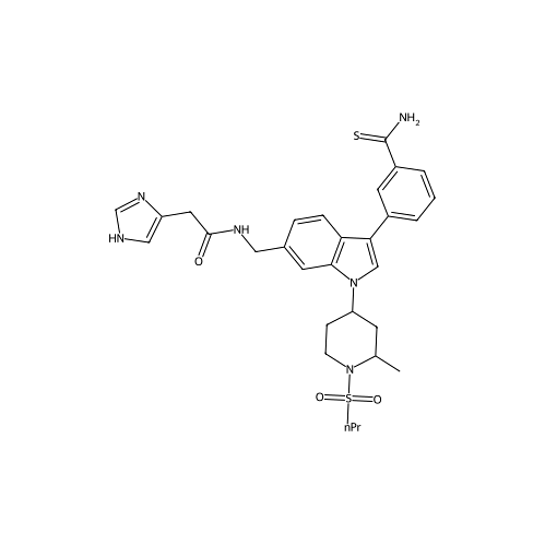 CCCS(=O)(=O)N1CCC(n2cc(-c3cccc(C(N)=S)c3)c3ccc(CNC(=O)Cc4c[nH]cn4)cc32)CC1C